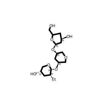 CC[C@@H]1C[C@H](O)CO[C@@H]1O[C@@H]1COC[C@H](O[C@@H]2C[C@H](O)CC(CO)O2)C1